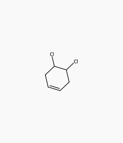 ClC1CC=CCC1Cl